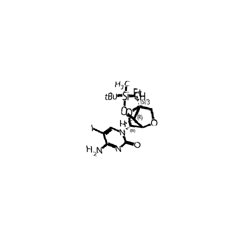 CC[C@@]12COC([C@H](n3cc(I)c(N)nc3=O)O1)[C@H]2O[Si](C)(C)C(C)(C)C